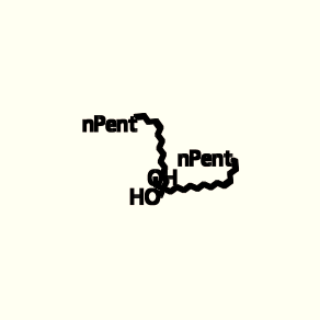 CCCCC/C=C\C/C=C\CCCCCCCCC(CO)(CO)CCCCCCCC/C=C\C/C=C\CCCCC